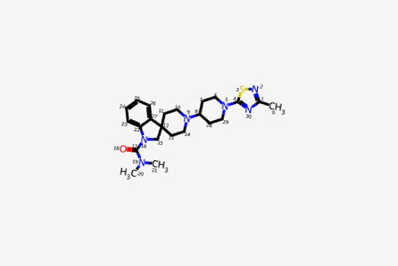 Cc1nsc(N2CCC(N3CCC4(CC3)CN(C(=O)N(C)C)c3ccccc34)CC2)n1